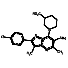 CSc1c(C)nc2c(C)c(-c3ccc(Cl)cc3)nn2c1N1CCCC(C(=O)O)C1